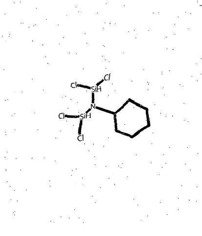 Cl[SiH](Cl)N(C1CCCCC1)[SiH](Cl)Cl